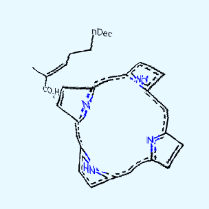 C1=Cc2cc3ccc(cc4nc(cc5ccc(cc1n2)[nH]5)C=C4)[nH]3.CCCCCCCCCCCCC=C(C)C(=O)O